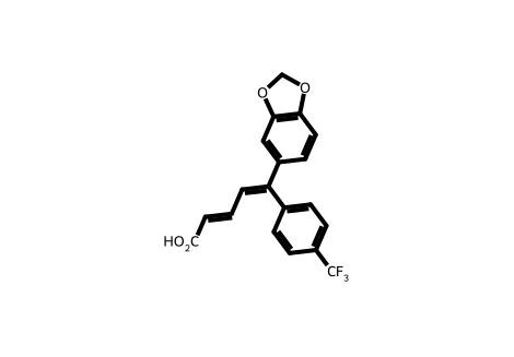 O=C(O)C=CC=C(c1ccc(C(F)(F)F)cc1)c1ccc2c(c1)OCO2